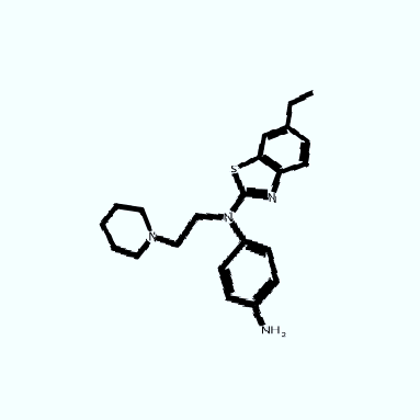 CCc1ccc2nc(N(CCN3CCCCC3)c3ccc(N)cc3)sc2c1